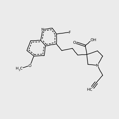 C#CCN1CCC(CCCc2c(F)cnc3ccc(OC)cc23)(C(=O)O)C1